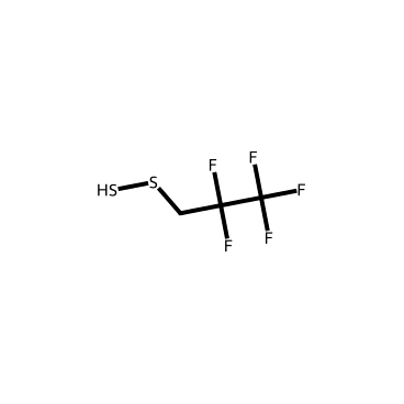 FC(F)(F)C(F)(F)CSS